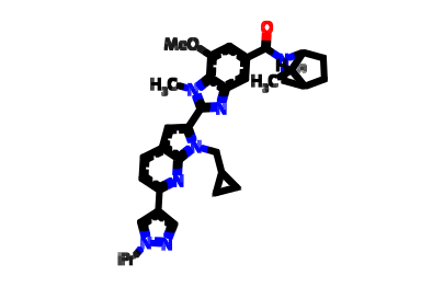 COc1cc(C(=O)N2CC3CCC2[C@@H]3C)cc2nc(-c3cc4ccc(-c5cnn(C(C)C)c5)nc4n3CC3CC3)n(C)c12